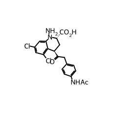 CC(=O)Nc1ccc(CC(=O)[C@@H]2C[C@@H](C(=O)O)N(N)c3cc(Cl)cc(Cl)c32)cc1